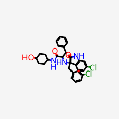 O=C(NC1CCC(O)CC1)C(Cc1ccccc1)NC1(Cc2cccc(Cl)c2)C(=O)Nc2cc(Cl)ccc21